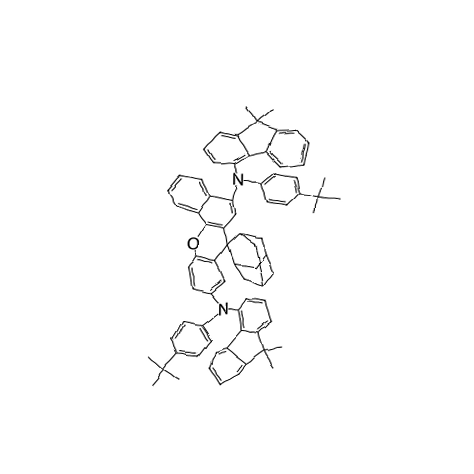 CC(C)(C)c1ccc(N(c2ccc3c(c2)C2(c4cc(N(c5ccc(C(C)(C)C)cc5)c5cccc6c5-c5ccccc5C6(C)C)c5ccccc5c4O3)C3CC4CC(C3)CC2C4)c2cccc3c2-c2ccccc2C3(C)C)cc1